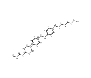 CCCCCCCOc1ccc(CCc2ccc(C3CCC(CCCC)CC3)cc2)cc1